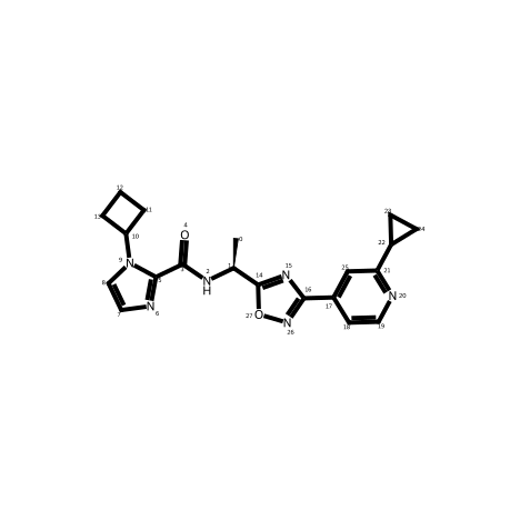 C[C@H](NC(=O)c1nccn1C1CCC1)c1nc(-c2ccnc(C3CC3)c2)no1